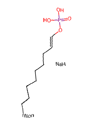 CCCCCCCCCCCCCCCCC=COP(=O)(O)O.[NaH]